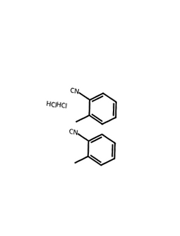 Cl.Cl.[C-]#[N+]c1ccccc1C.[C-]#[N+]c1ccccc1C